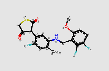 CCOc1ccc(F)c(F)c1CNc1cc(C2C(=O)CSC2=O)c(F)cc1OC